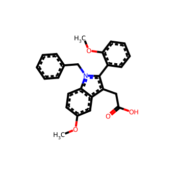 COc1ccc2c(c1)c(CC(=O)O)c(-c1ccccc1OC)n2Cc1ccccc1